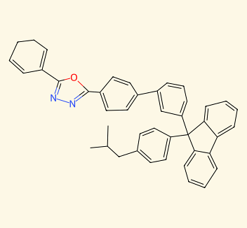 CC(C)Cc1ccc(C2(c3cccc(-c4ccc(-c5nnc(C6=CCCC=C6)o5)cc4)c3)c3ccccc3-c3ccccc32)cc1